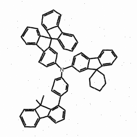 CC1(C)c2ccccc2-c2cccc(-c3ccc(N(c4ccc5c(c4)C4(CCCCC4)c4ccccc4-5)c4ccc5c(c4)C4(c6ccccc6-c6ccccc64)c4ccccc4-5)cc3)c21